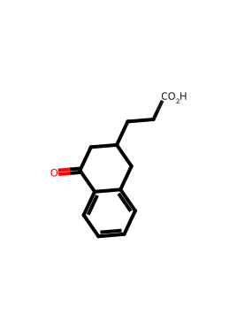 O=C(O)CCC1CC(=O)c2ccccc2C1